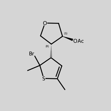 CC(=O)O[C@@H]1COC[C@H]1C1C=C(C)SC1(C)Br